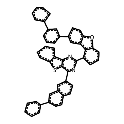 c1ccc(-c2cccc(-c3ccc4oc5cccc(-c6nc(-c7ccc8ccc(-c9ccccc9)cc8c7)c7sc8ccccc8c7n6)c5c4c3)c2)cc1